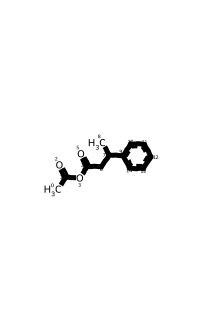 CC(=O)OC(=O)CC(C)c1ccccc1